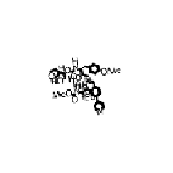 COC(=O)NC(C(=O)NN(Cc1ccc(-c2ccncc2)cc1)C[C@H](O)[C@H](Cc1ccc(OC)cc1)NC(=O)O[C@H]1CO[C@H]2OCC[C@H]21)C(C)(C)C